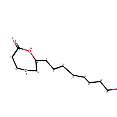 O=C1CCCCC(CCCCCCCCO)O1